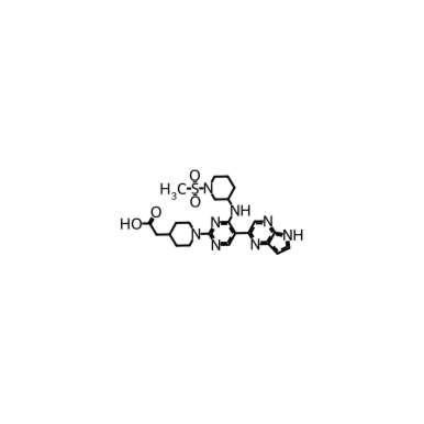 CS(=O)(=O)N1CCCC(Nc2nc(N3CCC(CC(=O)O)CC3)ncc2-c2cnc3[nH]ccc3n2)C1